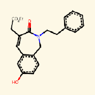 CCOC(=O)CC1=Cc2cc(O)ccc2CN(CCc2ccccc2)C1=O